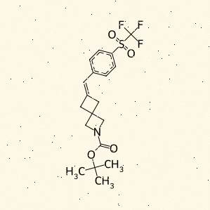 CC(C)(C)OC(=O)N1CC2(CC(=Cc3ccc(S(=O)(=O)C(F)(F)F)cc3)C2)C1